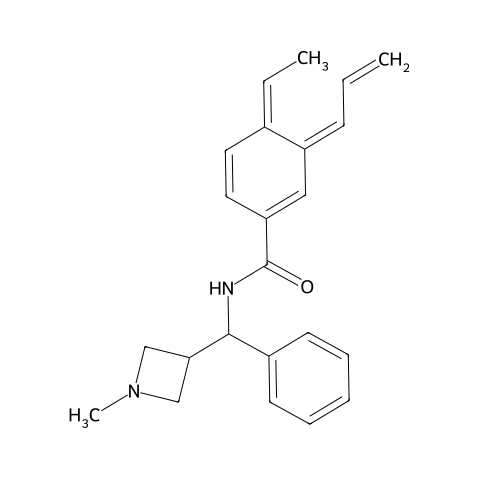 C=C/C=c1/cc(C(=O)NC(c2ccccc2)C2CN(C)C2)cc/c1=C/C